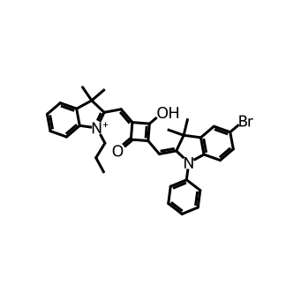 CCC[N+]1=C(C=C2C(=O)C(/C=C3/N(c4ccccc4)c4ccc(Br)cc4C3(C)C)=C2O)C(C)(C)c2ccccc21